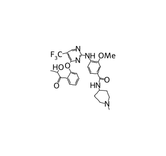 COc1cc(C(=O)NC2CCN(C)CC2)ccc1Nc1ncc(C(F)(F)F)c(Oc2ccccc2C(=O)C(C)O)n1